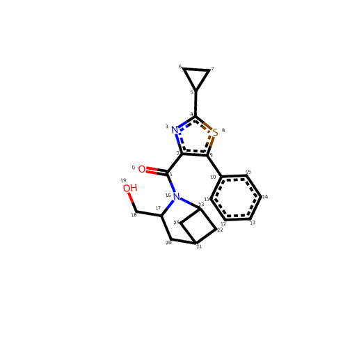 O=C(c1nc(C2CC2)sc1-c1ccccc1)N1C(CO)CC2CC1C2